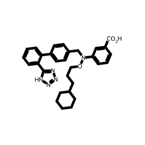 O=C(O)c1cccc(N(Cc2ccc(-c3ccccc3-c3nnn[nH]3)cc2)OCCCC2CCCCC2)c1